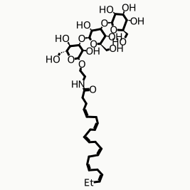 CC/C=C\C/C=C\C/C=C\C/C=C\C/C=C\C/C=C\CCC(=O)NCCO[C@@H]1O[C@H](CO)[C@@H](O)[C@H](O[C@@H]2O[C@H](CO)[C@@H](O)[C@H](O[C@@H]3O[C@H](CO)[C@@H](O)[C@H](O)[C@H]3O)[C@H]2O)[C@H]1O